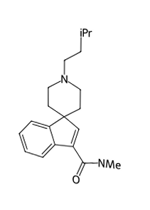 CNC(=O)C1=CC2(CCN(CCC(C)C)CC2)c2ccccc21